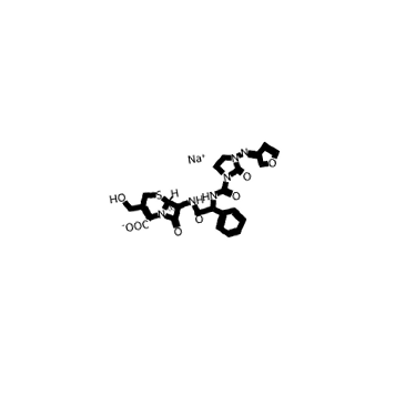 O=C([O-])C1=C(CO)CS[C@H]2C(NC(=O)C(NC(=O)N3CCN(N=C4C=COC4)C3=O)c3ccccc3)C(=O)N12.[Na+]